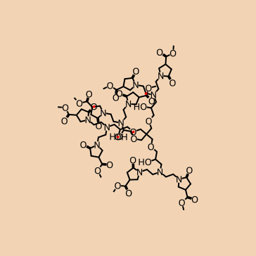 COC(=O)C1CC(=O)N(CCN(CCN2CC(C(=O)OC)CC2=O)CC(O)COCC(COCC(O)CN(CCN2CC(C(=O)OC)CC2=O)CCN2CC(C(=O)OC)CC2=O)(COCC(O)CN(CCN2CC(C(=O)OC)CC2=O)CCN2CC(C(=O)OC)CC2=O)COCC(O)N(CCN2CC(C(=O)OC)CC2=O)CCN2CC(C(=O)OC)CC2=O)C1